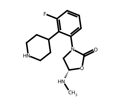 CN[C@@H]1CN(c2cccc(F)c2C2CCNCC2)C(=O)O1